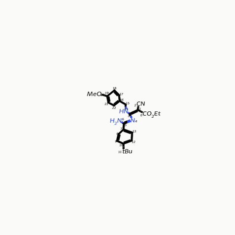 CCOC(=O)/C(C#N)=C(\N=C(/N)c1ccc(C(C)(C)C)cc1)NCc1ccc(OC)cc1